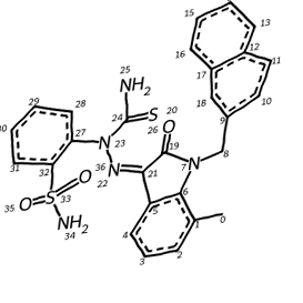 Cc1cccc2c1N(Cc1ccc3ccccc3c1)C(=O)/C2=N\N(C(N)=S)c1ccccc1S(N)(=O)=O